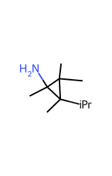 CC(C)C1(C)C(C)(C)C1(C)N